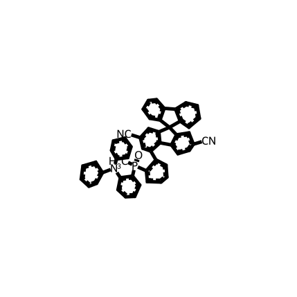 CP(=O)(c1ccccc1-c1cc(C#N)cc2c1-c1ccc(C#N)cc1C21c2ccccc2-c2ccccc21)c1ccccc1N(c1ccccc1)c1ccccc1